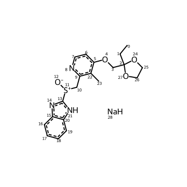 CCC1(COc2ccnc(C[S+]([O-])c3nc4ccccc4[nH]3)c2C)OCCO1.[NaH]